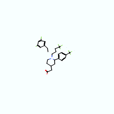 O=C(O)CC1CCN([C@H](CCc2cc(F)cc(F)c2)CCC(F)(F)F)C(c2ccc(C(F)(F)F)cc2)C1